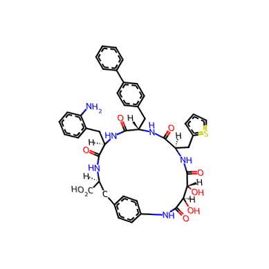 Nc1ccccc1C[C@H]1NC(=O)[C@H](Cc2ccc(-c3ccccc3)cc2)NC(=O)[C@@H](Cc2cccs2)NC(=O)[C@H](O)[C@@H](O)C(=O)Nc2ccc(cc2)C[C@@H](C(=O)O)NC1=O